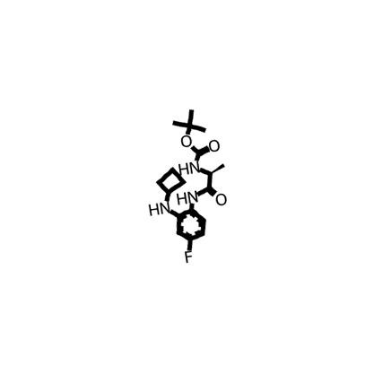 C[C@H](NC(=O)OC(C)(C)C)C(=O)Nc1ccc(F)cc1NC1CCC1